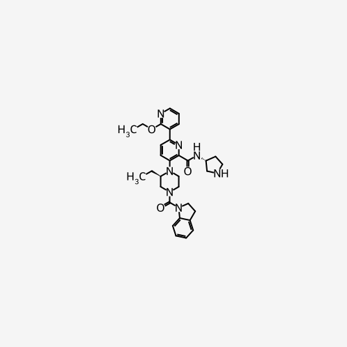 CCOc1ncccc1-c1ccc(N2CCN(C(=O)N3CCc4ccccc43)C[C@H]2CC)c(C(=O)N[C@@H]2CCNC2)n1